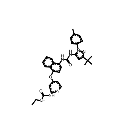 CCNC(=O)Nc1cc(Oc2ccc(NC(=O)Nc3cc(C(C)(C)C)nn3-c3ccc(C)cc3)c3ccccc23)ccn1